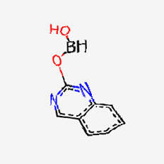 OBOc1ncc2ccccc2n1